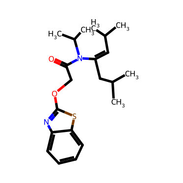 CC(C)/C=C(/CC(C)C)N(C(=O)COc1nc2ccccc2s1)C(C)C